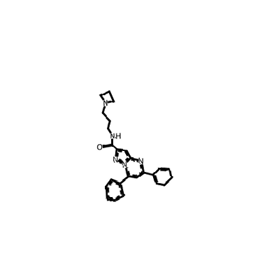 O=C(NCCCN1CCC1)c1cc2nc(C3=CCCC=C3)cc(-c3ccccc3)n2n1